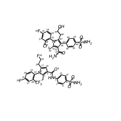 Cc1c(C(=O)Nc2ccc(S(N)(=O)=O)cc2)cc(CCF)n1-c1ccc(F)cc1C(F)(F)F.Cc1c(C(N)=O)c(-c2ccc(S(N)(=O)=O)cc2)c(CCO)n1-c1ccc(F)cc1C(F)(F)F